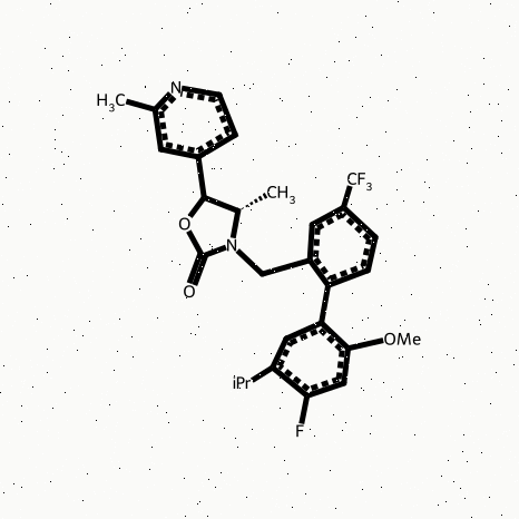 COc1cc(F)c(C(C)C)cc1-c1ccc(C(F)(F)F)cc1CN1C(=O)OC(c2ccnc(C)c2)[C@@H]1C